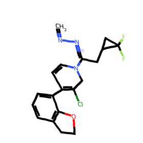 C=N/N=C(/CC1CC1(F)F)N1C=CC(c2cccc3c2OCC3)=C(Cl)C1